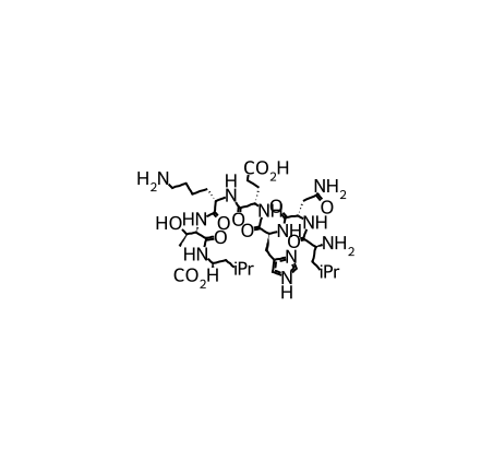 CC(C)C[C@H](NC(=O)[C@@H](NC(=O)[C@H](CCCCN)NC(=O)[C@H](CCC(=O)O)NC(=O)[C@H](Cc1c[nH]cn1)NC(=O)[C@H](CC(N)=O)NC(=O)[C@@H](N)CC(C)C)[C@@H](C)O)C(=O)O